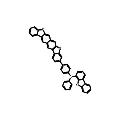 c1ccc(N(c2ccc(-c3ccc4c(c3)sc3cc5cc6sc7ccccc7c6cc5cc34)cc2)c2cccc3c2oc2ccccc23)cc1